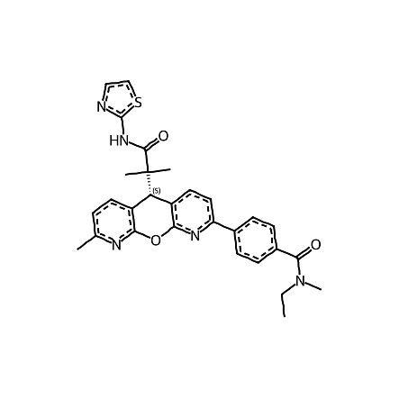 CCN(C)C(=O)c1ccc(-c2ccc3c(n2)Oc2nc(C)ccc2[C@@H]3C(C)(C)C(=O)Nc2nccs2)cc1